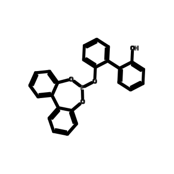 Oc1ccccc1-c1ccccc1Op1oc2ccccc2c2ccccc2o1